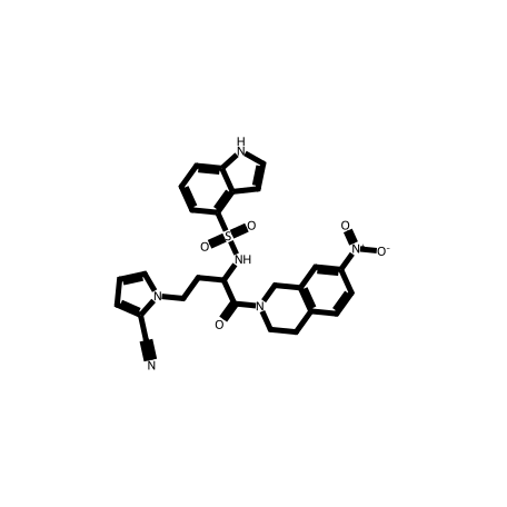 N#Cc1cccn1CCC(NS(=O)(=O)c1cccc2[nH]ccc12)C(=O)N1CCc2ccc([N+](=O)[O-])cc2C1